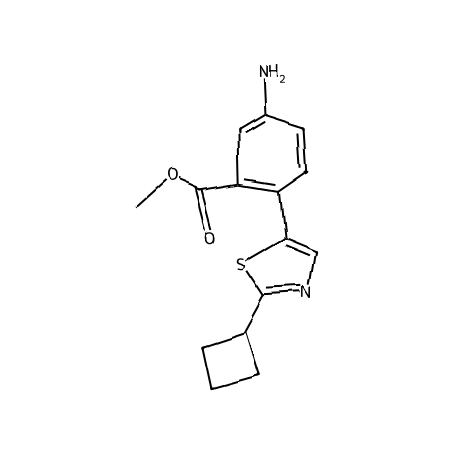 COC(=O)c1cc(N)ccc1-c1cnc(C2CCC2)s1